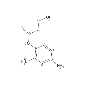 CC(CCO)Oc1ccc(N)cc1N